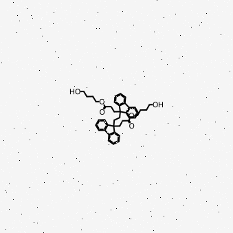 O=C(CCC1(CCC2(CCC(=O)OCCCCO)c3ccccc3-c3ccccc32)c2ccccc2-c2ccccc21)OCCCCO